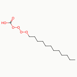 CCCCCCCCCCCCOOOOC(=O)O